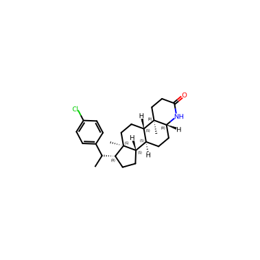 CC(c1ccc(Cl)cc1)[C@H]1CC[C@H]2[C@@H]3CC[C@H]4NC(=O)CC[C@]4(C)[C@H]3CC[C@]12C